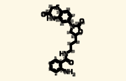 Nc1ccccc1C(=O)NCCCC1CN(c2ccc3c(c2)NC(=O)CS3)C(=O)O1